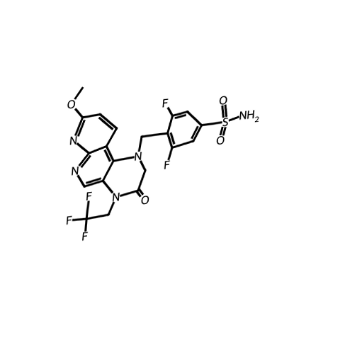 COc1ccc2c3c(cnc2n1)N(CC(F)(F)F)C(=O)CN3Cc1c(F)cc(S(N)(=O)=O)cc1F